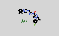 CCCc1nc(C(=O)NCCCN2CCN(c3cccc(C)c3C)CC2)c(C)n1-c1ccc(F)cc1.Cl.Cl